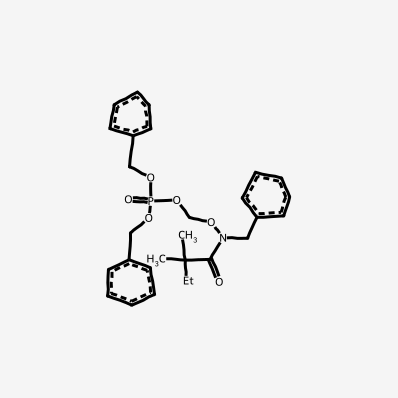 CCC(C)(C)C(=O)N(Cc1ccccc1)OCOP(=O)(OCc1ccccc1)OCc1ccccc1